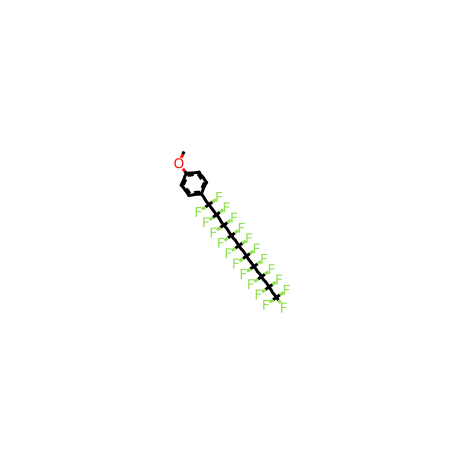 COc1ccc(C(F)(F)C(F)(F)C(F)(F)C(F)(F)C(F)(F)C(F)(F)C(F)(F)C(F)(F)C(F)(F)C(F)(F)F)cc1